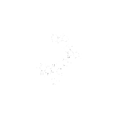 N/C(=N\C(=N/Cc1ccccc1-c1ccc(-n2c3ccccc3c3cc(-c4cccc5c4oc4ccccc45)ccc32)cc1)c1ccccc1)c1ccccc1